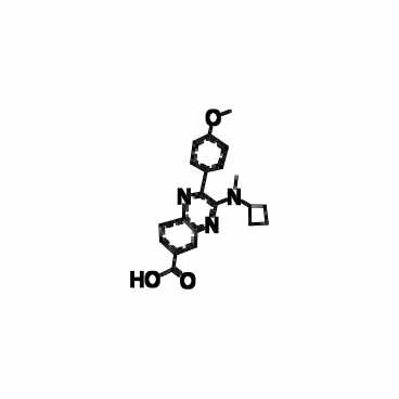 COc1ccc(-c2nc3ccc(C(=O)O)cc3nc2N(C)C2CCC2)cc1